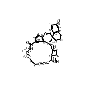 O=C1NS(=O)(=O)CCCCCC[C@@H](O)[C@@H]2CC[C@H]2CN2C[C@@]3(CCCc4cc(Cl)ccc43)COc3ccc1cc32